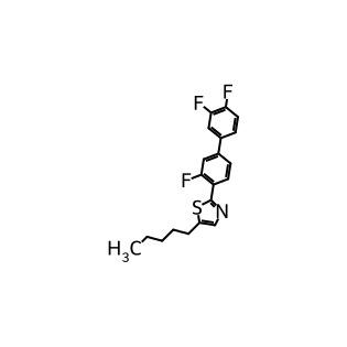 CCCCCc1cnc(-c2ccc(-c3ccc(F)c(F)c3)cc2F)s1